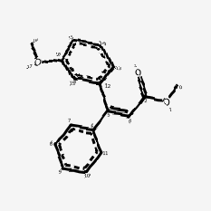 COC(=O)C=C(c1ccccc1)c1cccc(OC)c1